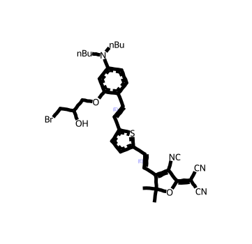 [C-]#[N+]C1=C(/C=C/c2ccc(/C=C/c3ccc(N(CCCC)CCCC)cc3OCC(O)CBr)s2)C(C)(C)OC1=C(C#N)C#N